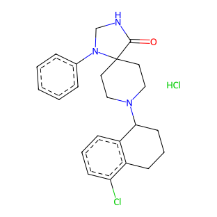 Cl.O=C1NCN(c2ccccc2)C12CCN(C1CCCc3c(Cl)cccc31)CC2